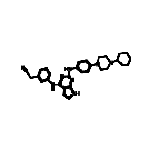 N#CCc1cccc(Nc2nc(Nc3ccc(N4CCN(C5CCCCC5)CC4)cc3)nc3[nH]ccc23)c1